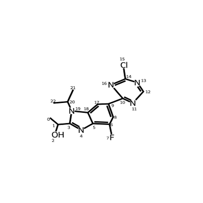 CC(O)c1nc2c(F)cc(-c3ncnc(Cl)n3)cc2n1C(C)C